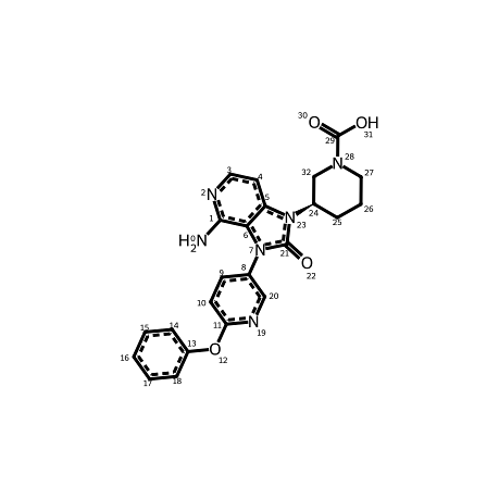 Nc1nccc2c1n(-c1ccc(Oc3ccccc3)nc1)c(=O)n2[C@@H]1CCCN(C(=O)O)C1